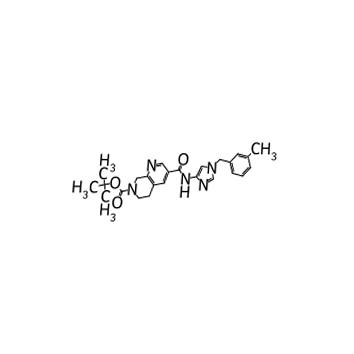 Cc1cccc(Cn2cnc(NC(=O)c3cnc4c(c3)CCN(C(=O)OC(C)(C)C)C4)c2)c1